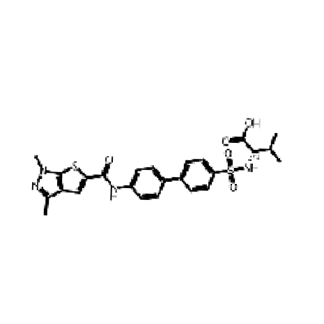 Cc1nn(C)c2sc(C(=O)Nc3ccc(-c4ccc(S(=O)(=O)N[C@H](C(=O)O)C(C)C)cc4)cc3)cc12